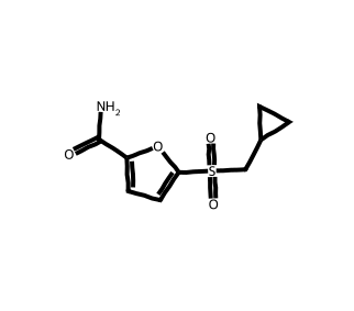 NC(=O)c1ccc(S(=O)(=O)CC2CC2)o1